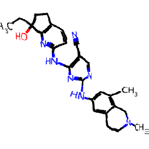 CCC1(O)CCc2ccc(Nc3nc(Nc4cc(C)c5c(c4)CCN(C)C5)ncc3C#N)nc21